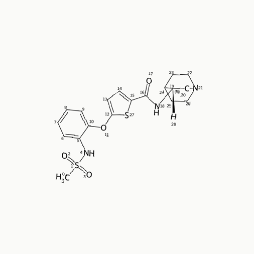 CS(=O)(=O)Nc1ccccc1Oc1ccc(C(=O)N[C@H]2CN3CCC2CC3)s1